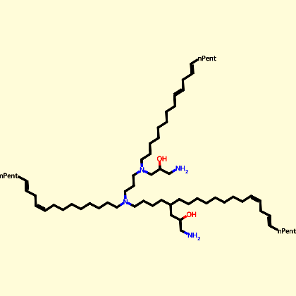 CCCCCC=CCC=CCCCCCCCCN(CCCN(CCCCCCCC/C=C\CC=CCCCCC)CCCCC(CCCCCCCC/C=C\CC=CCCCCC)CC(O)CN)CC(O)CN